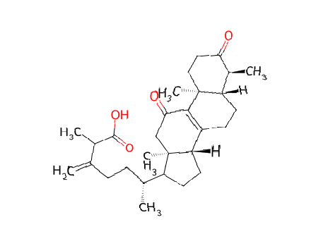 C=C(CC[C@@H](C)C1CC[C@H]2C3=C(C(=O)C[C@]12C)[C@@]1(C)CCC(=O)[C@@H](C)[C@@H]1CC3)C(C)C(=O)O